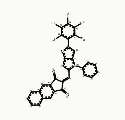 O=C1C(=Cc2nc3oc(-c4c(F)c(F)c(F)c(F)c4F)cc3n2-c2ccccc2)C(=O)c2cc3ccccc3cc21